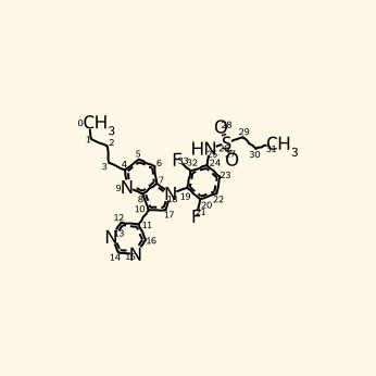 CCCCc1ccc2c(n1)c(-c1cncnc1)cn2-c1c(F)ccc(NS(=O)(=O)CCC)c1F